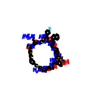 C[C@@H]1NC(=O)[C@@H]2CCCN2C(=O)[C@H](Cc2cccc3ccccc23)NC(=O)[C@H](Cc2c[nH]c3ccc(F)cc23)NC(=O)CNC(=O)[C@H](CCCCN)NC(=O)CCSCc2cccc(c2)CSC[C@@H](C(N)=O)NC(=O)[C@@H]2CCCN2C(=O)[C@H](Cc2ccc(O)cc2)NC1=O